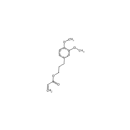 C=CC(=O)OCCCc1ccc(OC)c(OC)c1